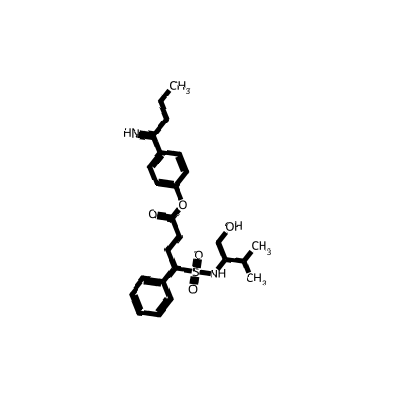 CCCC(=N)c1ccc(OC(=O)CCC(c2ccccc2)S(=O)(=O)NC(CO)C(C)C)cc1